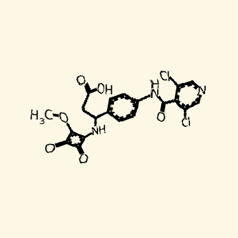 COc1c(NC(CC(=O)O)c2ccc(NC(=O)c3c(Cl)cncc3Cl)cc2)c(=O)c1=O